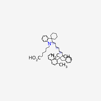 C=C(/C=C/C=C/C=C1\N(CCCCCC(=O)O)c2ccccc2C12CCCCC2)C(C)(Cc1ccccc1)c1c(C)ccc2ccccc12